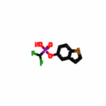 O=P(O)(Oc1ccc2sccc2c1)C(F)F